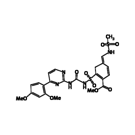 COC(=O)C1=C(S(=O)(=O)NC(=O)Nc2nccc(-c3ccc(OC)cc3OC)n2)CC(=CNS(C)(=O)=O)C=C1